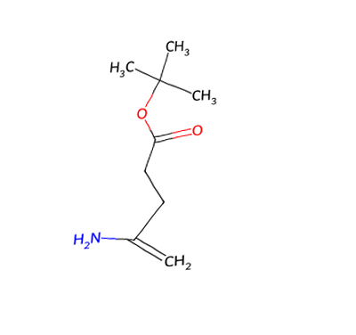 C=C(N)CCC(=O)OC(C)(C)C